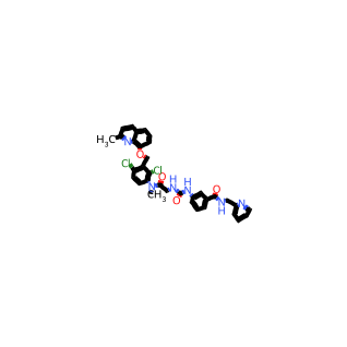 Cc1ccc2cccc(OCc3c(Cl)ccc(N(C)C(=O)CNC(=O)Nc4cccc(C(=O)NCc5ccccn5)c4)c3Cl)c2n1